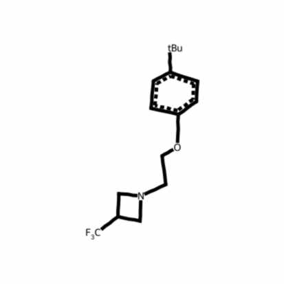 CC(C)(C)c1ccc(OCCN2CC(C(F)(F)F)C2)cc1